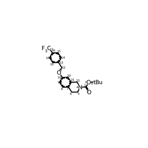 CC(C)(C)OC(=O)N1CCc2ccc(OCc3ccc(C(F)(F)F)cc3)cc2C1